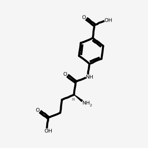 N[C@@H](CCC(=O)O)C(=O)Nc1ccc(C(=O)O)cc1